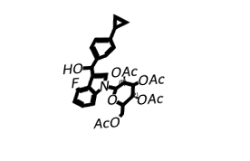 CC(=O)OCC1OC(n2cc(C(O)c3ccc(C4CC4)cc3)c3c(F)cccc32)[C@H](OC(C)=O)C(OC(C)=O)[C@@H]1OC(C)=O